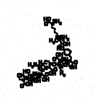 CC(C)C[C@H](N)C(=O)O.CC[C@H](C)[C@H](N)C(=O)O.C[C@H](N)C(=O)O.NC(=O)CC[C@H](N)C(=O)O.NCCCC[C@H](N)C(=O)O.N[C@@H](CO)C(=O)O.N[C@@H](CO)C(=O)O.N[C@@H](Cc1ccc(O)cc1)C(=O)O